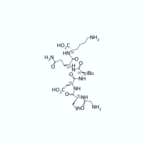 CC[C@H](C)[C@H](NC(=O)[C@H](CC(=O)O)NC(=O)[C@H](CC(C)C)NC(=O)CN)C(=O)N[C@@H](CCC(N)=O)C(=O)N[C@@H](CCCCN)C(=O)O